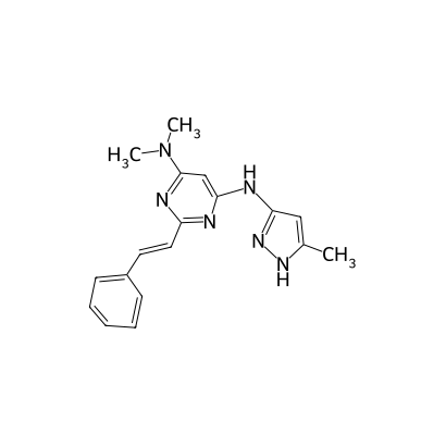 Cc1cc(Nc2cc(N(C)C)nc(/C=C/c3ccccc3)n2)n[nH]1